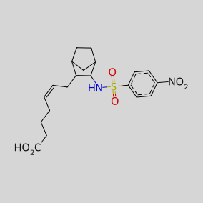 O=C(O)CCC/C=C\CC1C2CCC(C2)C1NS(=O)(=O)c1ccc([N+](=O)[O-])cc1